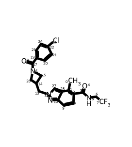 Cc1c(C(=O)NCC(F)(F)F)ccc2nn(CC3CN(C(=O)c4ccc(Cl)cc4)C3)cc12